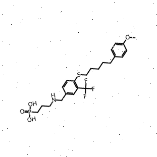 COc1ccc(CCCCCSc2ccc(CNCCCP(=O)(O)O)cc2C(F)(F)F)cc1